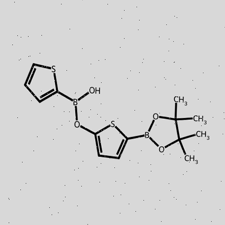 CC1(C)OB(c2ccc(OB(O)c3cccs3)s2)OC1(C)C